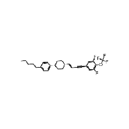 CCCCCc1ccc([C@H]2CC[C@H](C=CC#Cc3cc(F)c(OC(F)(F)F)c(F)c3)CC2)cc1